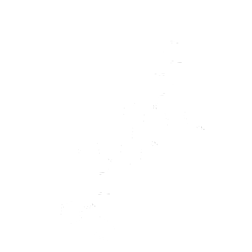 N#Cc1ccc2c(c1)c1cc(-c3ccccc3)ccc1n2C1C=CC=C(C2=CC(n3c4ccccc4c4cc(-n5c6ccccc6c6ccccc65)ccc43)=CCC2C#N)C1